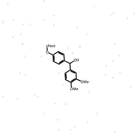 CCCCCOc1ccc(C(O)c2ccc(OC)c(OC)c2)cc1